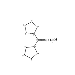 O=C(C1CCCC1)C1CCCC1.[NaH]